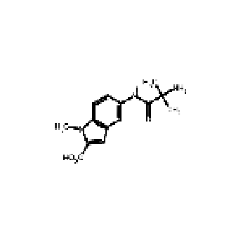 Cn1c(C(=O)O)cc2cc(NC(=O)C(C)(C)N)ccc21